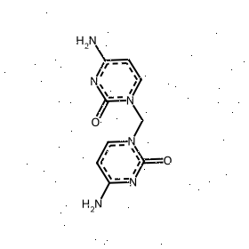 Nc1ccn(Cn2ccc(N)nc2=O)c(=O)n1